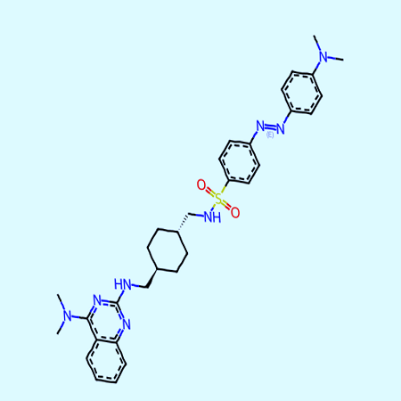 CN(C)c1ccc(/N=N/c2ccc(S(=O)(=O)NC[C@H]3CC[C@H](CNc4nc(N(C)C)c5ccccc5n4)CC3)cc2)cc1